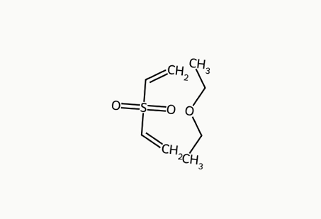 C=CS(=O)(=O)C=C.CCOCC